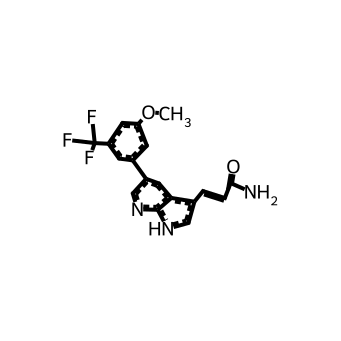 COc1cc(-c2cnc3[nH]cc(C=CC(N)=O)c3c2)cc(C(F)(F)F)c1